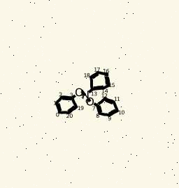 c1ccc(ON(Oc2ccccc2)c2ccccc2)cc1